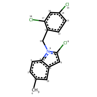 Cc1ccc2c([c]c(Cl)n2Cc2ccc(Cl)cc2Cl)c1